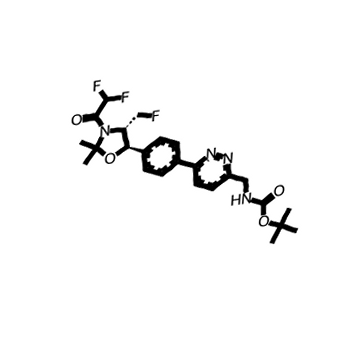 CC(C)(C)OC(=O)NCc1ccc(-c2ccc([C@H]3OC(C)(C)N(C(=O)C(F)F)[C@@H]3CF)cc2)nn1